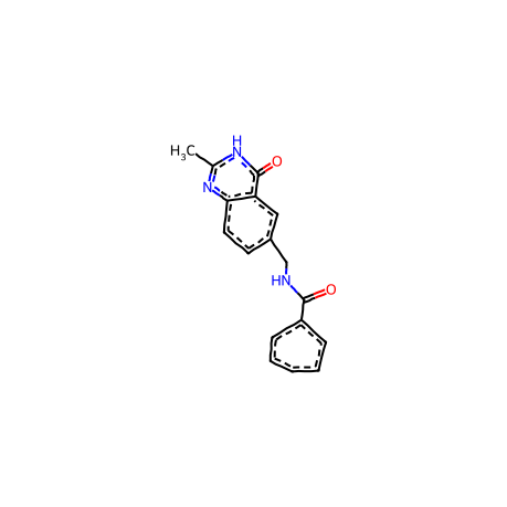 Cc1nc2ccc(CNC(=O)c3ccccc3)cc2c(=O)[nH]1